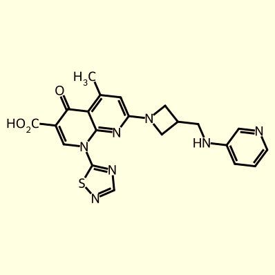 Cc1cc(N2CC(CNc3cccnc3)C2)nc2c1c(=O)c(C(=O)O)cn2-c1ncns1